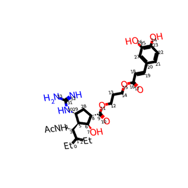 CCC(CC)[C@H](NC(C)=O)[C@@H]1[C@H](O)[C@@H](C(=O)OCCCOC(=O)/C=C/c2ccc(O)c(O)c2)C[C@H]1NC(=N)N